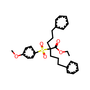 CCOC(=O)C(CCCc1ccccc1)(CCCc1ccccc1)S(=O)(=O)c1ccc(OC)cc1